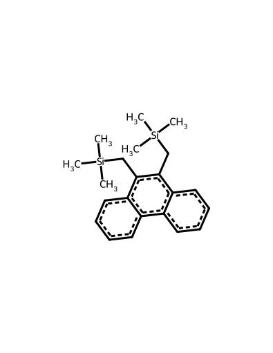 C[Si](C)(C)Cc1c(C[Si](C)(C)C)c2ccccc2c2ccccc12